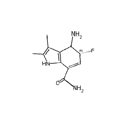 Cc1[nH]c2c(c1C)C(N)[C@H](F)C=C2C(N)=O